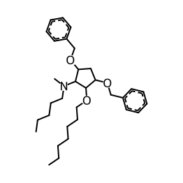 CCCCCCCOC1C(OCc2ccccc2)CC(OCc2ccccc2)C1N(C)CCCCC